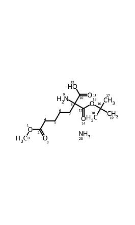 COC(=O)CCCCC(N)(C(=O)O)C(=O)OC(C)(C)C.N